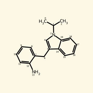 CC(C)n1cc(Cc2ccccc2N)c2ccccc21